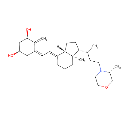 C=C1/C(=C\C=C2/CCC[C@]3(C)[C@@H](C(C)CCN4CCOC[C@H]4C)CC[C@@H]23)C[C@@H](O)C[C@H]1O